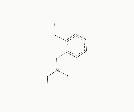 CCc1ccccc1CN(CC)CC